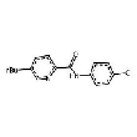 CCCCc1ccc(C(=O)Nc2ccc(Cl)cc2)nc1